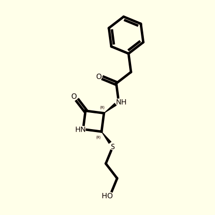 O=C(Cc1ccccc1)N[C@@H]1C(=O)N[C@@H]1SCCO